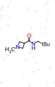 CN1CC(C(=O)NCC(C)(C)C)C1